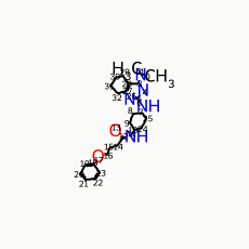 CN(C)c1nc(NC2CCC(NC(=O)CCCOc3ccccc3)CC2)nc2c1CCCC2